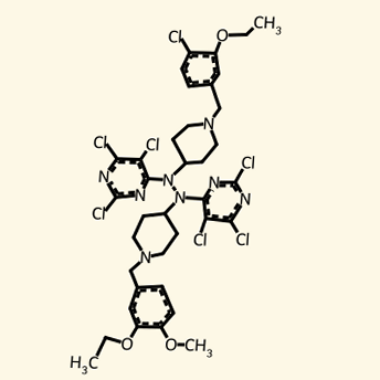 CCOc1cc(CN2CCC(N(c3nc(Cl)nc(Cl)c3Cl)N(c3nc(Cl)nc(Cl)c3Cl)C3CCN(Cc4ccc(OC)c(OCC)c4)CC3)CC2)ccc1Cl